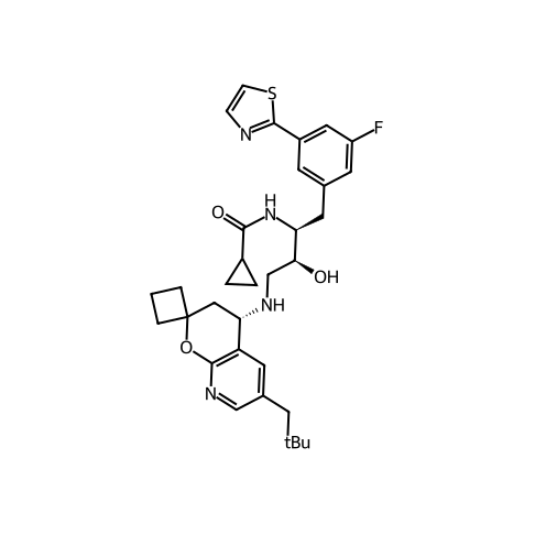 CC(C)(C)Cc1cnc2c(c1)[C@@H](NC[C@H](O)[C@H](Cc1cc(F)cc(-c3nccs3)c1)NC(=O)C1CC1)CC1(CCC1)O2